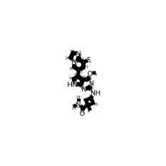 COc1nc(NC2CC(C)(C(=O)N(C)C)C2)nc2[nH]cc(-c3cc(F)c4nccn4c3)c12